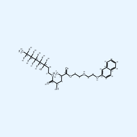 CCC(CC(C)C(=O)OCCOCCOc1ccc2ccccc2c1)C(=O)OCCC(F)(F)C(F)(F)C(F)(F)C(F)(F)C(F)(F)C(F)(F)F